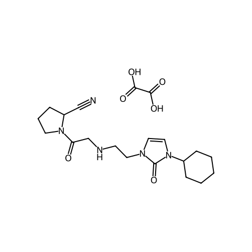 N#CC1CCCN1C(=O)CNCCn1ccn(C2CCCCC2)c1=O.O=C(O)C(=O)O